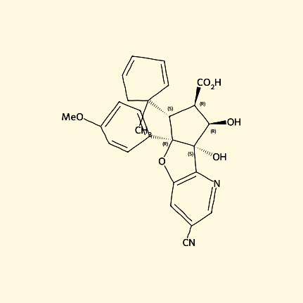 COc1ccc([C@@]23Oc4cc(C#N)cnc4[C@]2(O)[C@H](O)[C@H](C(=O)O)[C@H]3C2(C)C=CC=CC2)cc1